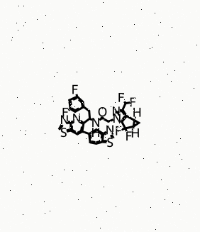 O=C(Cn1nc(C(F)F)c2c1C(F)(F)[C@@H]1C[C@H]21)NC(Cc1cc(F)cc(F)c1)c1nc2ncsc2cc1-c1ccc2scnc2c1